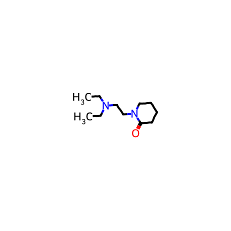 CCN(CC)CCN1CCCCC1=O